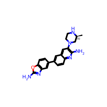 C[C@H]1CN(c2cc3cc(-c4ccc5oc(N)nc5c4)ccc3nc2N)CCN1